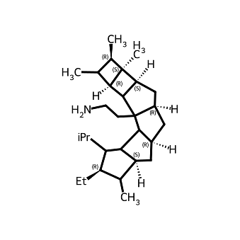 CC[C@H]1C(C(C)C)C2C3[C@H](C[C@H]2C1C)C[C@@H]1C[C@H]2C([C@H]4C(C)[C@@H](C)[C@]42C)C31CCN